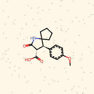 COc1ccc([C@H]2[C@H](C(=O)O)C(=O)NC23CCCC3)cc1